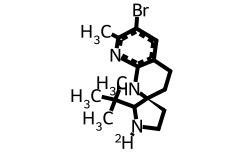 [2H]N1CC[C@@]2(CCc3cc(Br)c(C)nc3N2)C1C(C)(C)C